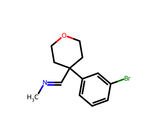 C/N=C/C1(c2cccc(Br)c2)CCOCC1